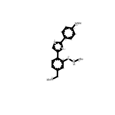 CNCc1ccc(-c2cnc(-c3ccc(NC)cc3)s2)c(SNC(C)(C)C)c1